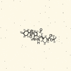 CNc1c(C(=N)N(CC=O)[C@@H]2CCCN(C(=O)OC(C)(C)C)C2)ccn1S(=O)(=O)c1ccc(C)cc1